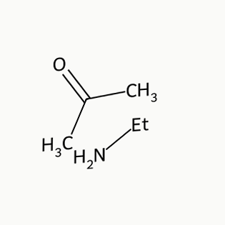 CC(C)=O.CCN